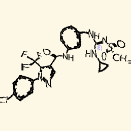 CS(=O)(=O)/N=C(/Nc1cccc(NC(=O)c2cnn(-c3ccc(Cl)cc3)c2C(F)(F)F)c1)NC1CC1